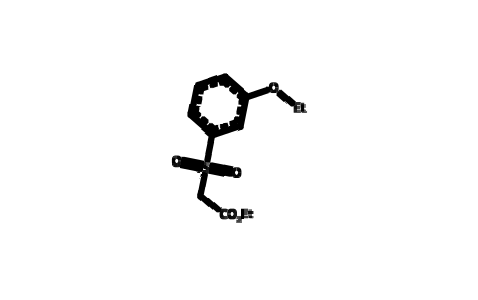 CCOC(=O)CS(=O)(=O)c1cccc(OCC)c1